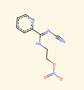 N#CN=C(NCCO[N+](=O)[O-])c1ccccn1